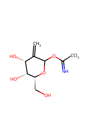 C=C1C(OC(=N)C(Cl)(Cl)Cl)O[C@H](CO)[C@H](O)[C@@H]1O